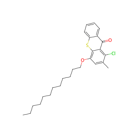 CCCCCCCCCCCCOc1cc(C)c(Cl)c2c(=O)c3ccccc3sc12